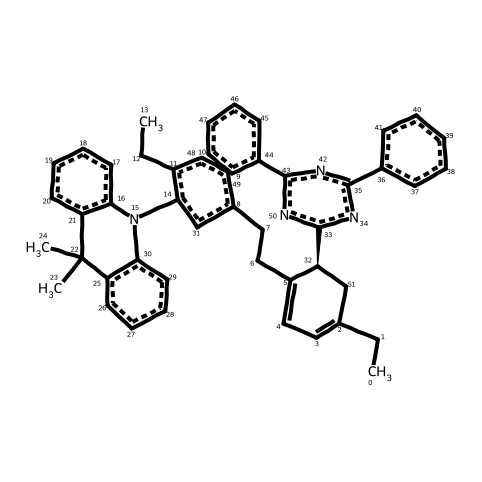 CCC1=CC=C(CCc2ccc(CC)c(N3c4ccccc4C(C)(C)c4ccccc43)c2)[C@@H](c2nc(-c3ccccc3)nc(-c3ccccc3)n2)C1